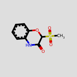 CS(=O)(=O)C1Oc2ccccc2NC1=O